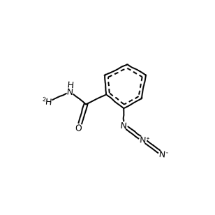 [2H]NC(=O)c1ccccc1N=[N+]=[N-]